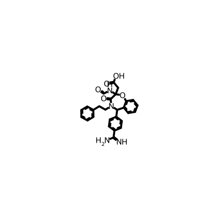 N=C(N)c1ccc(C2c3ccccc3OC(CC(=O)O)(NC=O)C(=O)N2CCc2ccccc2)cc1